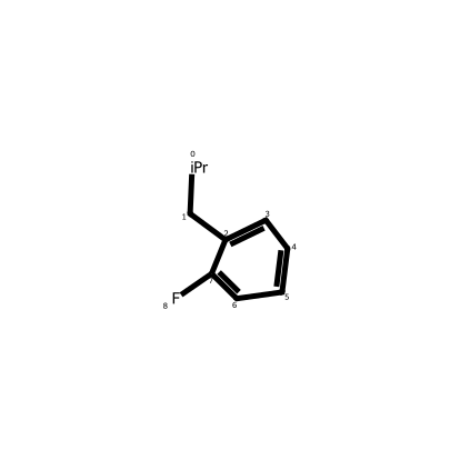 CC(C)Cc1ccccc1F